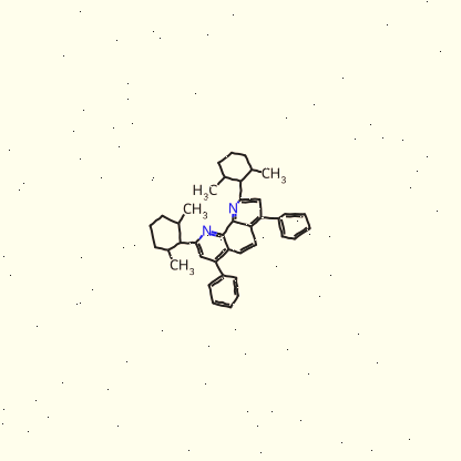 CC1CCCC(C)C1c1cc(-c2ccccc2)c2ccc3c(-c4ccccc4)cc(C4C(C)CCCC4C)nc3c2n1